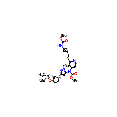 CC(C)(C)OC(=O)NC12CC(CCc3cc(N(C(=O)OC(C)(C)C)c4cc([C@H]5CC[C@@H](O[Si](C)(C)C(C)(C)C)C5)nn4C(C)(C)C)ccn3)(C1)C2